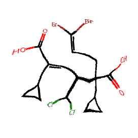 O=C(O)C(=CC(C(Cl)Cl)C(CC=C(Br)Br)(C(=O)O)C1CC1)C1CC1